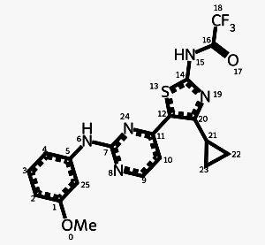 COc1cccc(Nc2nccc(-c3sc(NC(=O)C(F)(F)F)nc3C3CC3)n2)c1